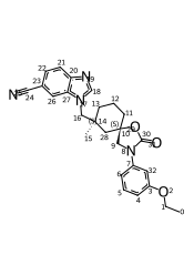 CCOc1cccc(N2C[C@@]3(CCC[C@](C)(Cn4cnc5ccc(C#N)cc54)C3)OC2=O)c1